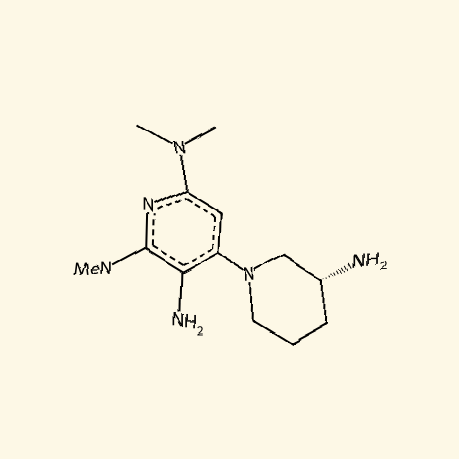 CNc1nc(N(C)C)cc(N2CCC[C@@H](N)C2)c1N